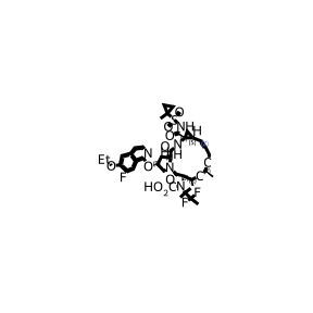 CCOc1cc2ccnc(O[C@@H]3C[C@H]4C(=O)N[C@]5(C(=O)NS(=O)(=O)C6(C)CC6)C[C@H]5/C=C\CC[C@@H](C)C[C@@H](C)[C@H](N(C(=O)O)C(C)(C)C(C)(F)F)C(=O)N4C3)c2cc1F